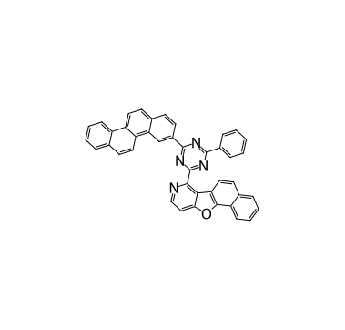 c1ccc(-c2nc(-c3ccc4ccc5c6ccccc6ccc5c4c3)nc(-c3nccc4oc5c6ccccc6ccc5c34)n2)cc1